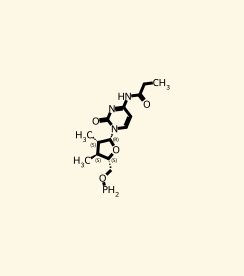 CCC(=O)Nc1ccn([C@@H]2O[C@H](COP)[C@@H](C)[C@@H]2C)c(=O)n1